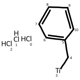 Cl.Cl.Cl.[Ti][CH2]c1ccccc1